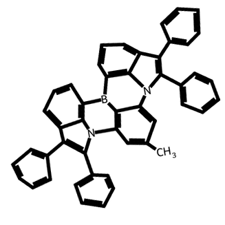 Cc1cc2c3c(c1)-n1c(-c4ccccc4)c(-c4ccccc4)c4cccc(c41)B3c1cccc3c(-c4ccccc4)c(-c4ccccc4)n-2c13